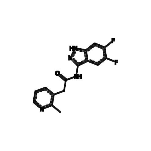 Cc1ncccc1CC(=O)Nc1n[nH]c2cc(F)c(F)cc12